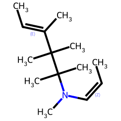 C/C=C\N(C)C(C)(C)C(C)(C)/C(C)=C/C